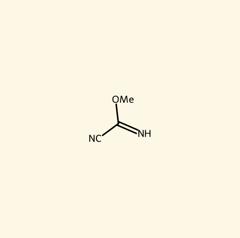 COC(=N)C#N